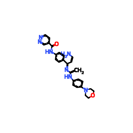 C=C(/N=C(\C=C/N)c1ccc(NC(=O)c2ccnnc2)cc1)Nc1ccc(N2CCOCC2)cc1